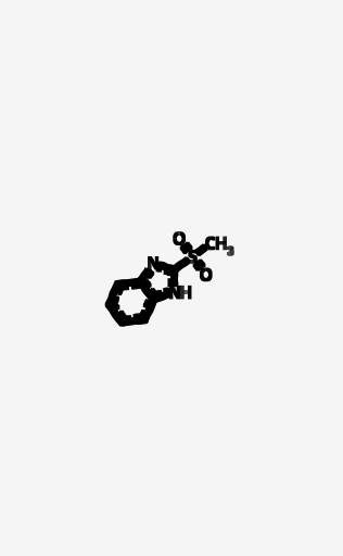 CS(=O)(=O)c1nc2ccccc2[nH]1